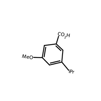 COc1cc(C(=O)O)cc(C(C)C)c1